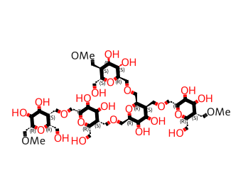 COC[C@H]1[C@@H](O)[C@H](O)[C@@H](COC[C@@H]2O[C@H](COC[C@H]3C(O)C(O)[C@@H](COC[C@H]4C(O)C(O)[C@@H](COC)O[C@H]4CO)O[C@H]3CO)C(O)C(O)[C@@H]2COC[C@H]2O[C@@H](CO)[C@@H](COC)C(O)C2O)O[C@@H]1CO